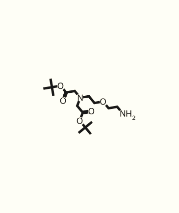 CC(C)(C)OC(=O)CN(CCOCCN)CC(=O)OC(C)(C)C